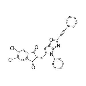 O=C1C(=Cc2cc3oc(C#Cc4ccccc4)nc3n2-c2ccccc2)C(=O)c2cc(Cl)c(Cl)cc21